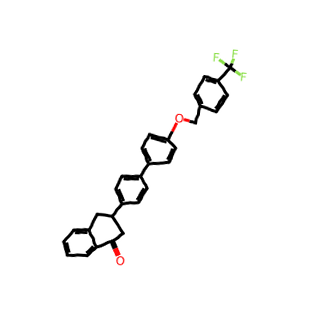 O=C1CC(c2ccc(-c3ccc(OCc4ccc(C(F)(F)F)cc4)cc3)cc2)Cc2ccccc21